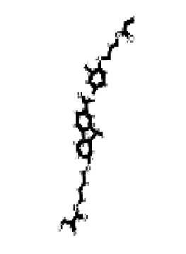 C=CC(=O)OCCCOc1ccc(OC(=O)c2ccc3c(c2)C(C)c2cc(OCCCCOC(=O)C(=C)CO)ccc2-3)cc1C